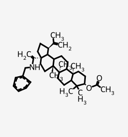 C=C(C)[C@@H]1CC[C@]2(C(=C)NCc3ccccc3)CC[C@]3(C)C(CCC4[C@@]5(C)CC[C@H](OC(C)=O)C(C)(C)C5CC[C@]43C)C12